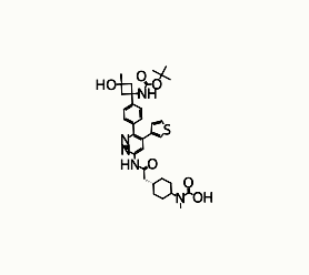 CN(C(=O)O)[C@H]1CC[C@H](CC(=O)Nc2cc(-c3ccsc3)c(-c3ccc([C@]4(NC(=O)OC(C)(C)C)C[C@](C)(O)C4)cc3)nn2)CC1